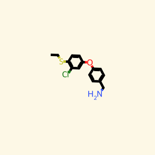 CCSc1ccc(Oc2ccc(CN)cc2)cc1Cl